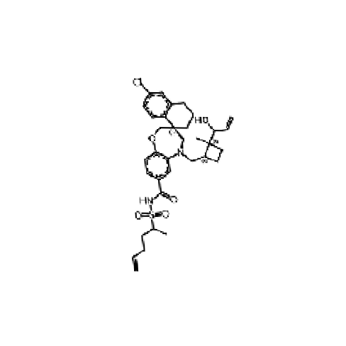 C=CCCC(C)S(=O)(=O)NC(=O)c1ccc2c(c1)N(C[C@@H]1CC[C@@]1(C)C(O)C=C)C[C@@]1(CCCc3cc(Cl)ccc31)CO2